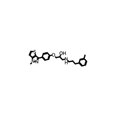 Cc1cccc(CCCNCC(O)COc2ccc(-c3nn(C)c4ccsc34)cc2)c1